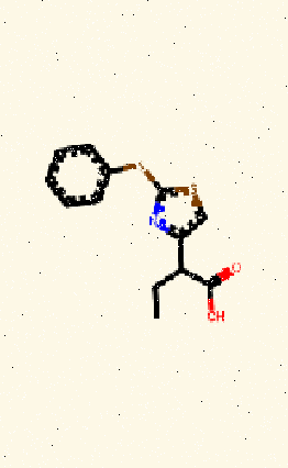 CCC(C(=O)O)c1csc(Sc2ccccc2)n1